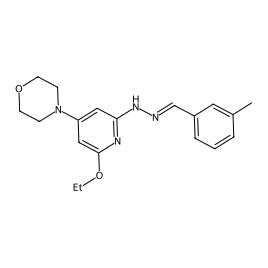 CCOc1cc(N2CCOCC2)cc(NN=Cc2cccc(C)c2)n1